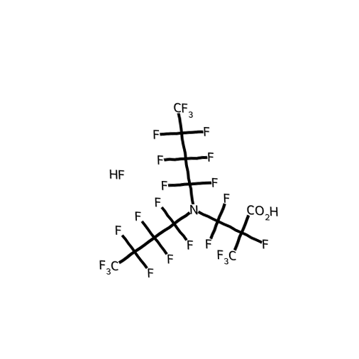 F.O=C(O)C(F)(C(F)(F)F)C(F)(F)N(C(F)(F)C(F)(F)C(F)(F)C(F)(F)F)C(F)(F)C(F)(F)C(F)(F)C(F)(F)F